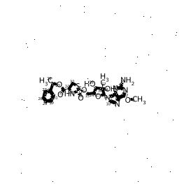 COc1nc(N)nc2c1ncn2[C@@H]1OC(CO[P@]2(=O)N[C@H](C(=O)O[C@H](C)c3ccccc3)CS2)[C@@H](O)[C@@]1(C)O